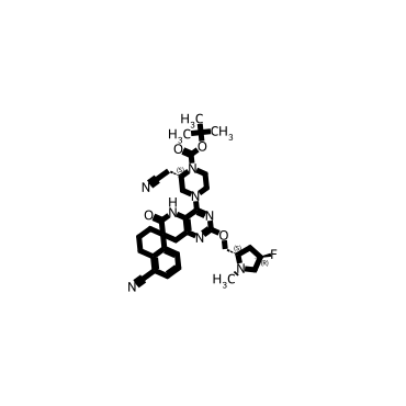 CN1C[C@H](F)C[C@H]1COc1nc2c(c(N3CCN(C(=O)OC(C)(C)C)[C@@H](CC#N)C3)n1)NC(=O)C1(CCCc3c(C#N)cccc31)C2